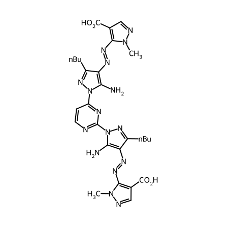 CCCCc1nn(-c2ccnc(-n3nc(CCCC)c(/N=N/c4c(C(=O)O)cnn4C)c3N)n2)c(N)c1/N=N/c1c(C(=O)O)cnn1C